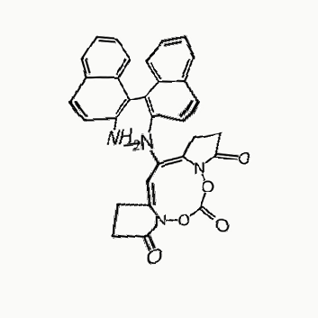 CN(C1=C2\CCC(=O)N2OC(=O)ON2C(=O)CC\C2=C\1)c1ccc2ccccc2c1-c1c(N)ccc2ccccc12